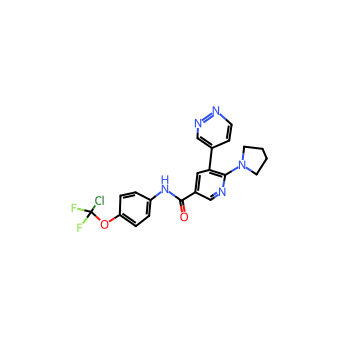 O=C(Nc1ccc(OC(F)(F)Cl)cc1)c1cnc(N2CCCC2)c(-c2ccnnc2)c1